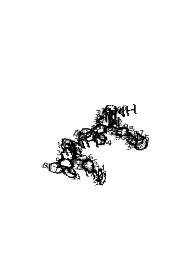 CCC1Cc2cc(OC)c(OC)cc2C(c2ccc(N3CCOCC3)cc2)=NN1C(=O)NC.CC[C@H]1Cc2cc(OC)c(OC)cc2C(c2ccc(N3CCOCC3)cc2)=NN1C(=O)NC